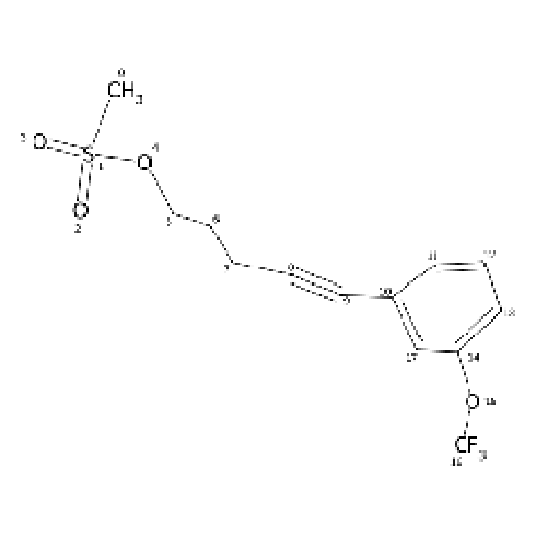 CS(=O)(=O)OCCCC#Cc1cccc(OC(F)(F)F)c1